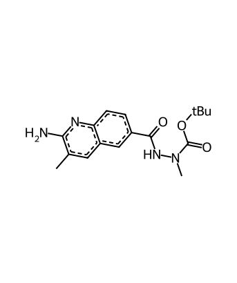 Cc1cc2cc(C(=O)NN(C)C(=O)OC(C)(C)C)ccc2nc1N